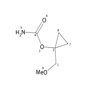 COCC1(OC(N)=O)CC1